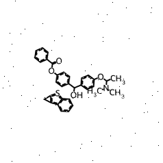 CC(Oc1ccc(C(O)c2ccc(OC(=O)c3ccccc3)cc2)cc1)N(C)C.c1ccc2c3c(sc2c1)C3